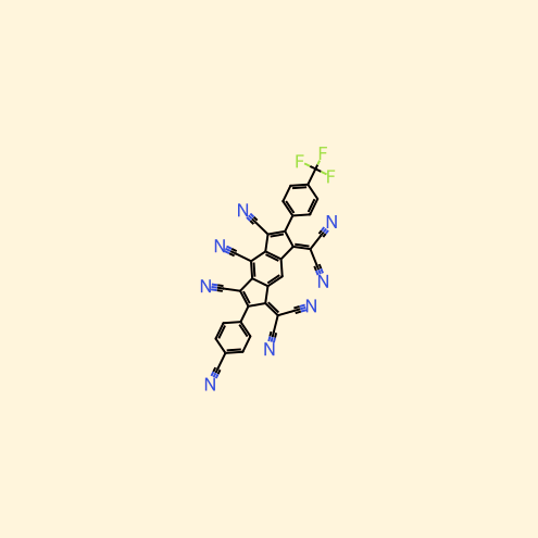 N#CC(C#N)=C1C(c2ccc(C#N)cc2)=C(C#N)c2c1cc1c(c2C#N)C(C#N)=C(c2ccc(C(F)(F)F)cc2)C1=C(C#N)C#N